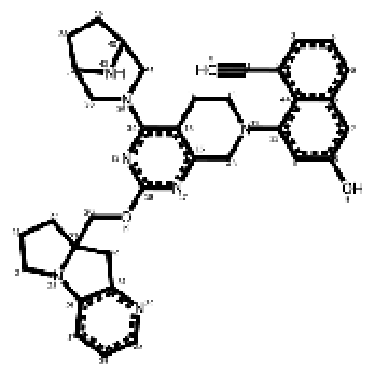 C#Cc1cccc2cc(O)cc(N3CCc4c(nc(OCC56CCCN5c5cccnc5C6)nc4N4CC5CCC(C4)N5)C3)c12